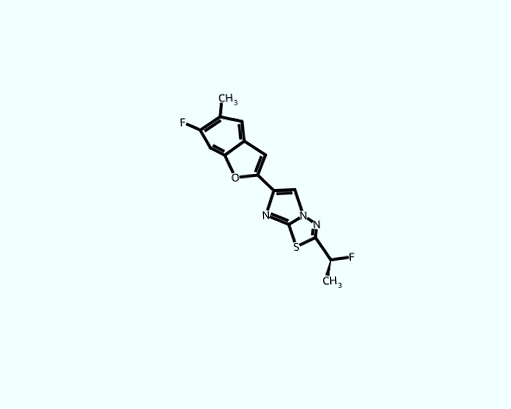 Cc1cc2cc(-c3cn4nc([C@H](C)F)sc4n3)oc2cc1F